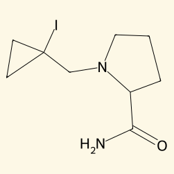 NC(=O)C1CCCN1CC1(I)CC1